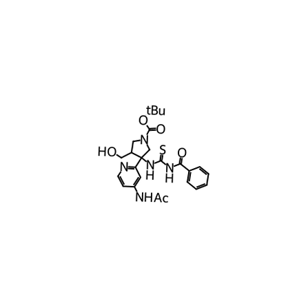 CC(=O)Nc1ccnc(C2(NC(=S)NC(=O)c3ccccc3)CN(C(=O)OC(C)(C)C)CC2CO)c1